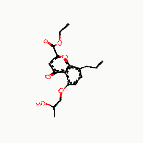 CCCc1ccc(OCC(C)O)c2c(=O)cc(C(=O)OCC)oc12